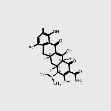 CC(=O)c1cc(I)c(O)c2c1C[C@H]1C[C@H]3[C@H](N(C)C)C(O)=C(C(N)=O)C(=O)[C@@]3(O)C(O)=C1C2=O